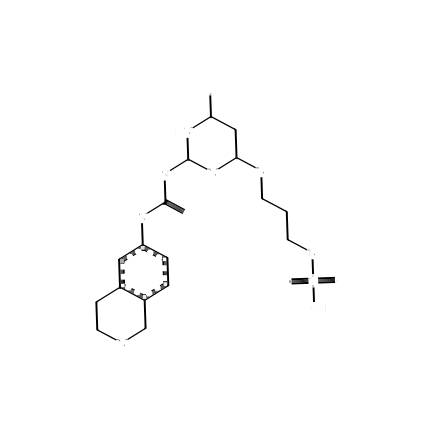 CC1CC(NCCCNS(C)(=O)=O)NC(NC(=O)Nc2ccc3c(c2)CCNC3)N1